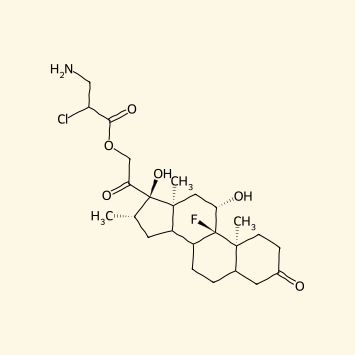 C[C@H]1CC2C3CCC4CC(=O)CC[C@]4(C)[C@@]3(F)[C@@H](O)C[C@]2(C)[C@@]1(O)C(=O)COC(=O)C(Cl)CN